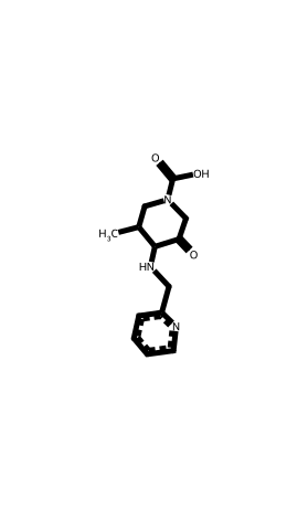 CC1CN(C(=O)O)CC(=O)C1NCc1ccccn1